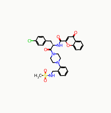 CS(=O)(=O)NCc1ccccc1N1CCN(C(=O)[C@@H](Cc2ccc(Cl)cc2)NC(=O)c2cc(=O)c3ccccc3o2)CC1